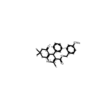 COc1ccc(COC(=O)C2=C(C)NC3=C(C(=O)CC(C)(C)C3)C2c2ccccc2)cc1